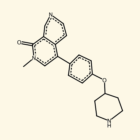 Cn1cc(-c2ccc(OC3CCNCC3)cc2)c2ccncc2c1=O